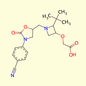 CC(C)(C)C1C(OCC(=O)O)CN1CC1CN(c2ccc(C#N)cc2)C(=O)O1